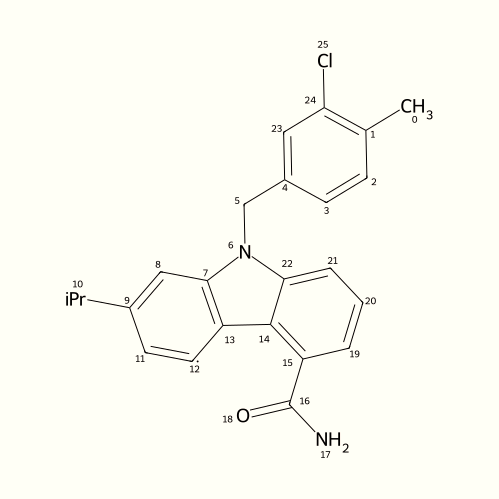 Cc1ccc(Cn2c3cc(C(C)C)c[c]c3c3c(C(N)=O)cccc32)cc1Cl